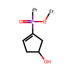 CCOP(=O)(C1=CCC(O)C1)C(C)C